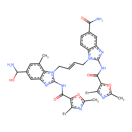 CCc1nc(C)oc1C(=O)Nc1nc2cc(C(N)=O)ccc2n1C/C=C/Cn1c(NC(=O)c2oc(C)nc2CC)nc2cc(C(N)O)cc(C)c21